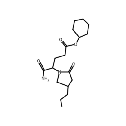 CCCC1CC(=O)N(C(CCC(=O)OC2CCCCC2)C(N)=O)C1